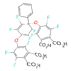 O=C(O)c1c(F)c(F)c(OC2=C(F)C(F)C(Oc3c(F)c(F)c(C(=O)O)c(C(=O)O)c3F)(c3ccccc3)C(F)=C2F)c(F)c1C(=O)O